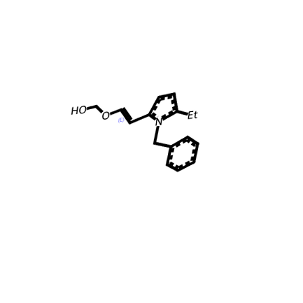 CCc1ccc(/C=C/OCO)n1Cc1ccccc1